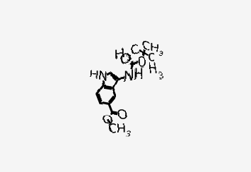 COC(=O)c1ccc2[nH]cc(NC(=O)OC(C)(C)C)c2c1